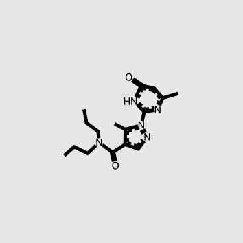 CCCN(CCC)C(=O)c1cnn(-c2nc(C)cc(=O)[nH]2)c1C